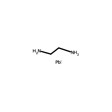 NCCN.[Pb]